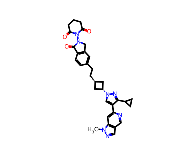 Cn1ncc2cnc(-c3cn([C@H]4C[C@H](CCc5ccc6c(c5)CN(N5C(=O)CCCC5=O)C6=O)C4)nc3C3CC3)cc21